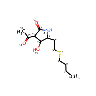 CCCCSCCC1NC(=O)C(C(C)=O)C1O